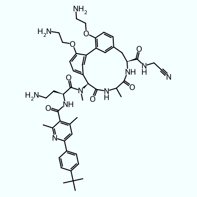 Cc1cc(-c2ccc(C(C)(C)C)cc2)nc(C)c1C(=O)N[C@@H](CCN)C(=O)N(C)[C@@H]1C(=O)NC(C)C(=O)N[C@H](C(=O)NCC#N)Cc2ccc(OCCN)c(c2)-c2cc1ccc2OCCN